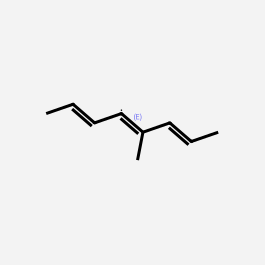 CC=C/[C]=C(\C)C=CC